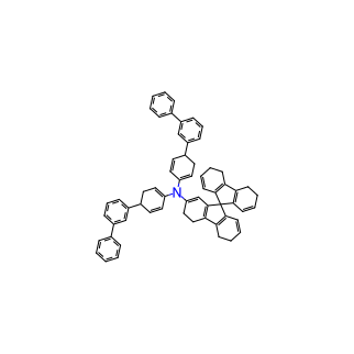 C1=CC2=C(CC1)C1=C(C=CCC1)C21C2=C(CCC=C2)C2=C1C=C(N(C1=CCC(c3cccc(-c4ccccc4)c3)C=C1)C1=CCC(c3cccc(-c4ccccc4)c3)C=C1)CC2